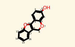 Oc1ccc2c(c1)OCc1c-2oc2ccccc12